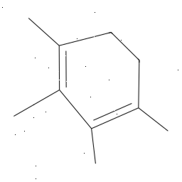 CC1=C(C)C(C)=C(C)CC1